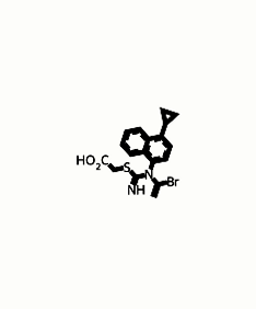 C=C(Br)N(C(=N)SCC(=O)O)c1ccc(C2CC2)c2ccccc12